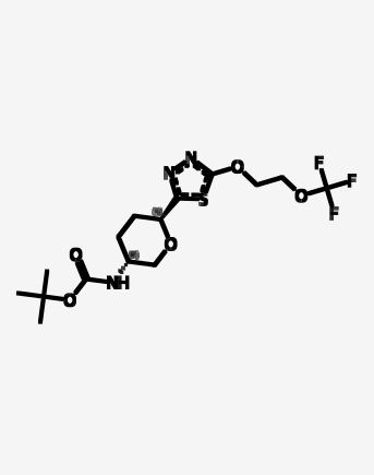 CC(C)(C)OC(=O)N[C@@H]1CC[C@@H](c2nnc(OCCOC(F)(F)F)s2)OC1